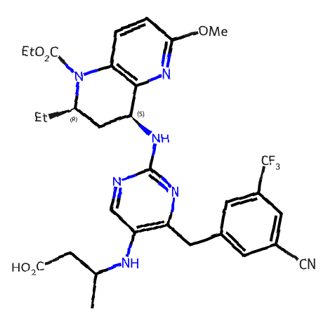 CCOC(=O)N1c2ccc(OC)nc2[C@@H](Nc2ncc(NC(C)CC(=O)O)c(Cc3cc(C#N)cc(C(F)(F)F)c3)n2)C[C@H]1CC